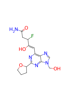 NC(=O)CC(F)C(O)=Cc1nc(C2CCCO2)nc2c1ncn2CO